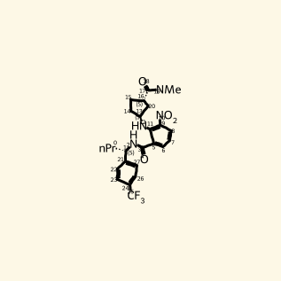 CCC[C@H](NC(=O)c1cccc([N+](=O)[O-])c1N[C@H]1CC[C@H](C(=O)NC)C1)c1ccc(C(F)(F)F)cc1